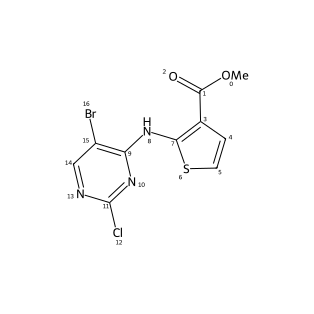 COC(=O)c1ccsc1Nc1nc(Cl)ncc1Br